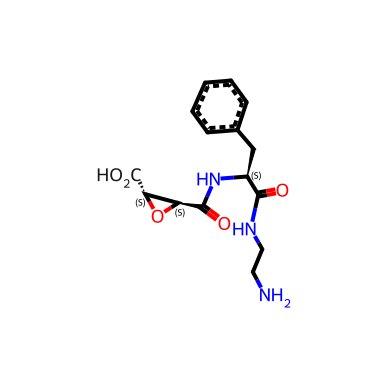 NCCNC(=O)[C@H](Cc1ccccc1)NC(=O)[C@H]1O[C@@H]1C(=O)O